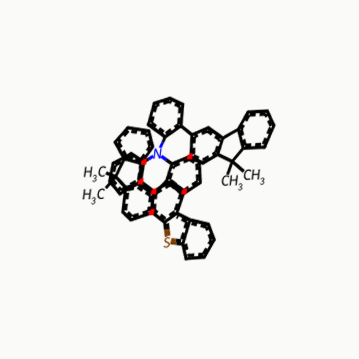 CC1(C)c2ccccc2-c2cc(-c3ccccc3N(c3ccccc3-c3ccc4c(c3)sc3ccccc34)c3ccccc3-c3cccc4c3-c3ccccc3C4(C)C)ccc21